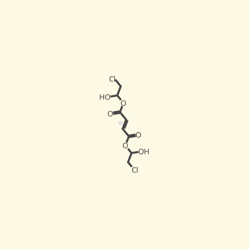 O=C(/C=C/C(=O)OC(O)CCl)OC(O)CCl